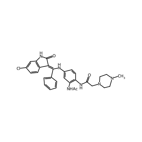 CC(=O)Nc1cc(N/C(=C2\C(=O)Nc3cc(Cl)ccc32)c2ccccc2)ccc1NC(=O)CN1CCN(C)CC1